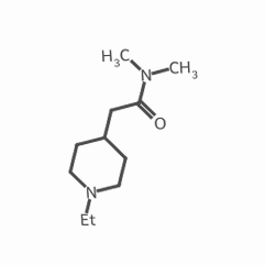 CCN1CCC(CC(=O)N(C)C)CC1